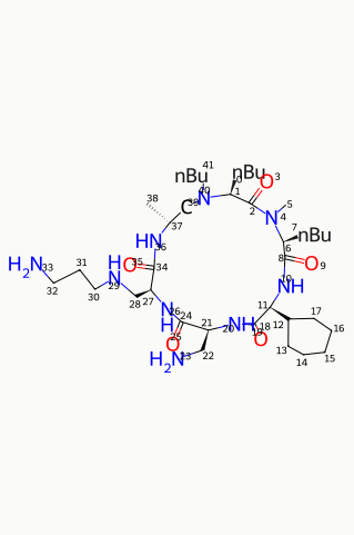 CCCC[C@H]1C(=O)N(C)[C@@H](CCCC)C(=O)N[C@@H](C2CCCCC2)C(=O)N[C@@H](CN)C(=O)N[C@@H](CNCCCN)C(=O)N[C@H](C)CN1CCCC